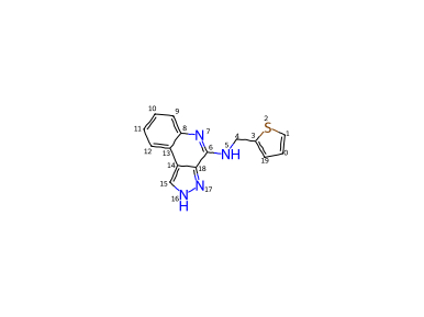 c1csc(CNc2nc3ccccc3c3c[nH]nc23)c1